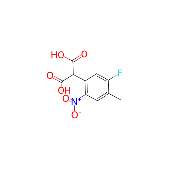 Cc1cc([N+](=O)[O-])c(C(C(=O)O)C(=O)O)cc1F